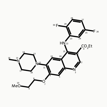 CCOC(=O)c1cnc2cc(OCCOC)c(N3CCN(C)CC3)cc2c1Nc1cc(F)ccc1F